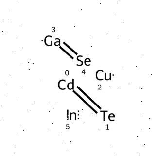 [Cd]=[Te].[Cu].[Ga]=[Se].[In]